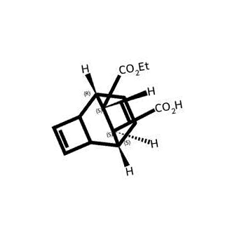 CCOC(=O)[C@@H]1[C@@H](C(=O)O)[C@@H]2C=C[C@H]1C1C=CC12